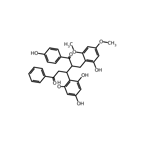 COc1cc(O)c(CC(C(=O)c2ccc(O)cc2)C(CC(=O)c2ccccc2)c2c(O)cc(O)cc2O)c(OC)c1